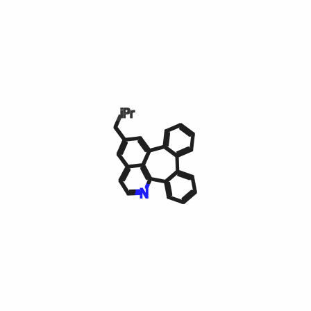 CC(C)Cc1cc2c3c(nccc3c1)-c1ccccc1-c1ccccc1-2